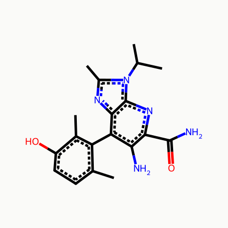 Cc1ccc(O)c(C)c1-c1c(N)c(C(N)=O)nc2c1nc(C)n2C(C)C